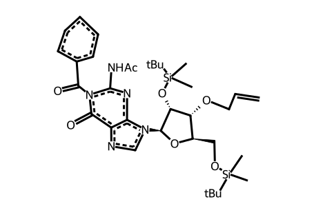 C=CCO[C@H]1[C@@H](O[Si](C)(C)C(C)(C)C)[C@H](n2cnc3c(=O)n(C(=O)c4ccccc4)c(NC(C)=O)nc32)O[C@@H]1CO[Si](C)(C)C(C)(C)C